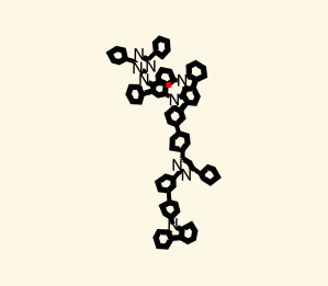 c1ccc(-c2cc(-c3ccc(-c4ccc5c(c4)c4ccc6c7ccccc7n(-c7ccccc7)c6c4n5-c4ccc5c(c4)c4ccccc4n5-c4nc(-c5ccccc5)nc(-c5ccccc5)n4)cc3)nc(-c3cccc(-c4ccc(-n5c6ccccc6c6ccccc65)cc4)c3)n2)cc1